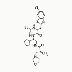 C=C(CN1CCOCC1)C(=O)NCC(NC(=O)[C@H](Cc1nc2ccc(Cl)cc2s1)NC(=O)CC)C1CCCC1